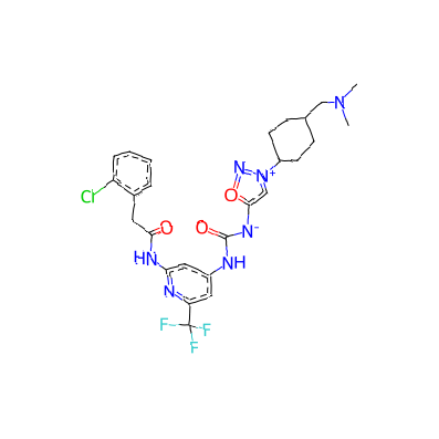 CN(C)CC1CCC([n+]2cc([N-]C(=O)Nc3cc(NC(=O)Cc4ccccc4Cl)nc(C(F)(F)F)c3)on2)CC1